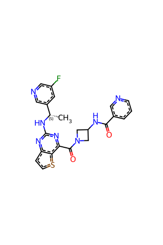 C[C@H](Nc1nc(C(=O)N2CC(NC(=O)c3cccnc3)C2)c2sccc2n1)c1cncc(F)c1